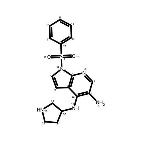 Nc1cnc2c(ccn2S(=O)(=O)c2ccccc2)c1NC1CCNC1